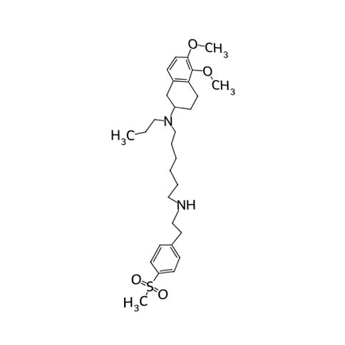 CCCN(CCCCCCNCCc1ccc(S(C)(=O)=O)cc1)C1CCc2c(ccc(OC)c2OC)C1